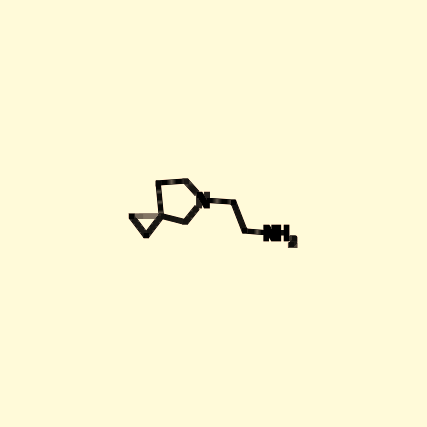 NCCN1CCC2(CC2)C1